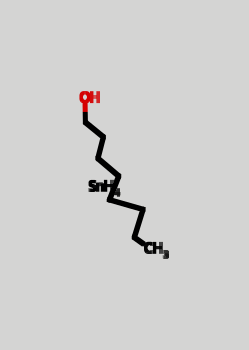 CCCCCCCCO.[SnH4]